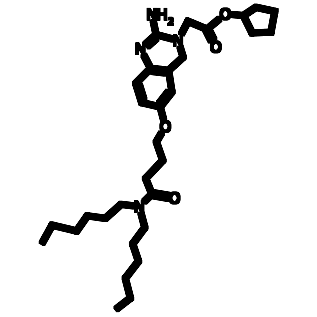 CCCCCCN(CCCCCC)C(=O)CCCOc1ccc2c(c1)CN(CC(=O)OC1CCCC1)C(N)=N2